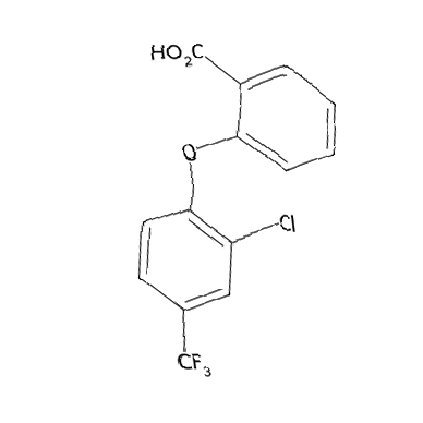 O=C(O)c1ccccc1Oc1ccc(C(F)(F)F)cc1Cl